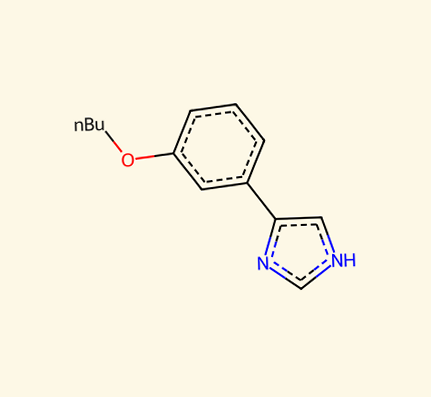 CCCCOc1cccc(-c2c[nH]cn2)c1